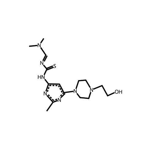 Cc1nc(NC(=S)/N=C/N(C)C)cc(N2CCN(CCO)CC2)n1